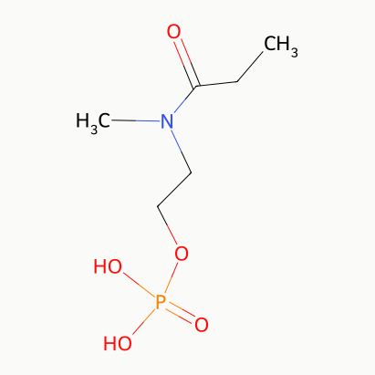 CCC(=O)N(C)CCOP(=O)(O)O